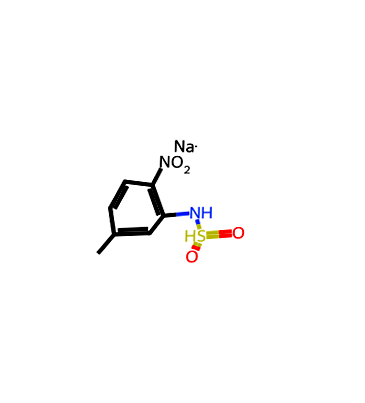 Cc1ccc([N+](=O)[O-])c(N[SH](=O)=O)c1.[Na]